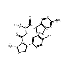 C[C@H]1CC[C@@H](c2ccc(F)cc2)N1C(=O)CN(C(=O)O)C(=O)[C@H]1CCc2cc(N)ccc21